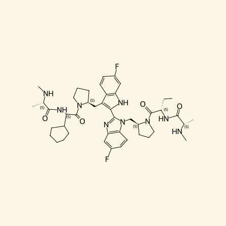 CC[C@H](NC(=O)[C@H](C)NC)C(=O)N1CCC[C@H]1Cn1c(-c2[nH]c3cc(F)ccc3c2C[C@@H]2CCCN2C(=O)[C@@H](NC(=O)[C@H](C)NC)C2CCCCC2)nc2cc(F)ccc21